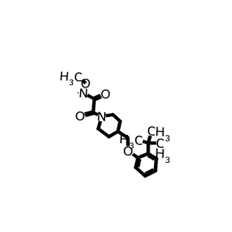 CO[N]C(=O)C(=O)N1CCC(COc2ccccc2C(C)(C)C)CC1